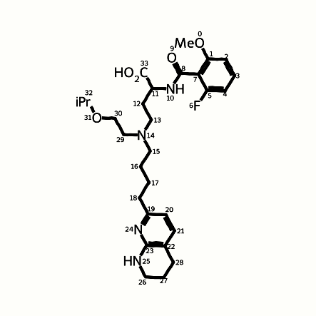 COc1cccc(F)c1C(=O)NC(CCN(CCCCc1ccc2c(n1)NCCC2)CCOC(C)C)C(=O)O